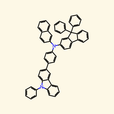 c1ccc(-n2c3ccccc3c3cc(-c4ccc(N(c5ccc6c(c5)C(c5ccccc5)(c5ccccc5)c5ccccc5-6)c5ccc6ccccc6c5)cc4)ccc32)cc1